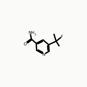 CC(C)(F)c1cncc(C(N)=O)c1